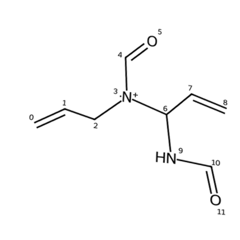 C=CC[N+](C=O)C(C=C)NC=O